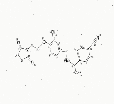 Cc1cc(CNC(C)c2ccc(C#N)cc2)ccc1OCCN1C(=O)CCC1=O